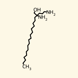 CCCCCCCCCCCCCCCCCCC(N)(CO)CCCN